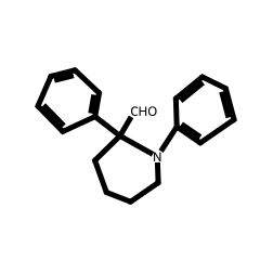 O=CC1(c2ccccc2)CCCCN1c1ccccc1